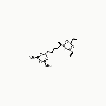 C=CB1OB(C=C)OB(C(=C)CCCCB2OB(CCCC)OB(CCCC)O2)O1